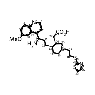 COc1ccc2nccc([C@H](N)CC[C@@H]3CCN(CCSc4nccs4)C[C@@H]3CC(=O)O)c2c1